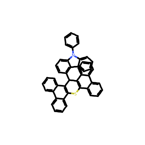 c1ccc(-n2c3ccccc3c3c(C4c5c(c6ccccc6c6ccccc56)Sc5c4c4ccccc4c4ccccc54)cccc32)cc1